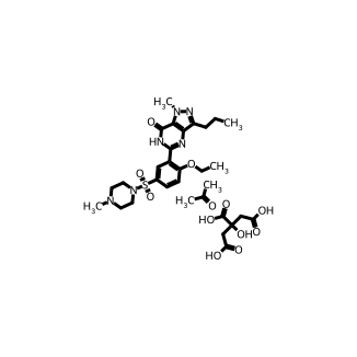 CC(C)=O.CCCc1nn(C)c2c(=O)[nH]c(-c3cc(S(=O)(=O)N4CCN(C)CC4)ccc3OCC)nc12.O=C(O)CC(O)(CC(=O)O)C(=O)O